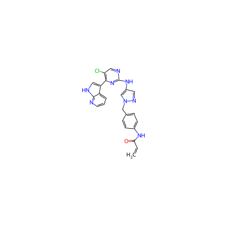 C=CC(=O)Nc1ccc(Cn2cc(Nc3ncc(Cl)c(-c4c[nH]c5ncccc45)n3)cn2)cc1